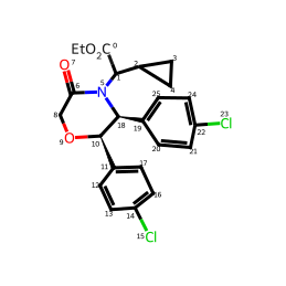 CCOC(=O)C(C1CC1)N1C(=O)CO[C@H](c2ccc(Cl)cc2)[C@@H]1c1ccc(Cl)cc1